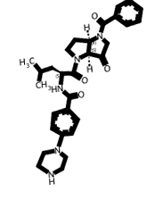 CC(C)C[C@H](NC(=O)c1ccc(N2CCNCC2)cc1)C(=O)N1CC[C@@H]2[C@H]1C(=O)CN2C(=O)c1ccccc1